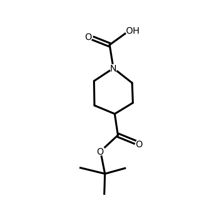 CC(C)(C)OC(=O)C1CCN(C(=O)O)CC1